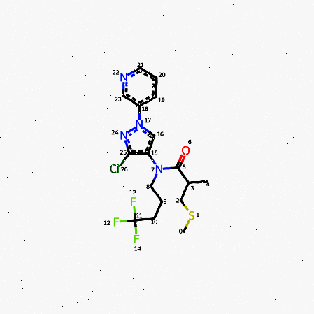 CSCC(C)C(=O)N(CCCC(F)(F)F)c1cn(-c2cccnc2)nc1Cl